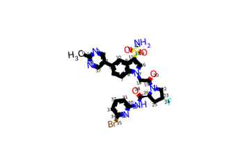 Cc1ncc(-c2ccc3c(c2)c(S(N)(=O)=O)cn3CC(=O)N2C[C@H](F)C[C@H]2C(=O)Nc2cccc(Br)n2)cn1